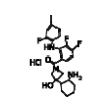 Cl.NC1CCCCC1C1(O)CN(C(=O)c2ccc(F)c(F)c2Nc2ccc(I)cc2F)C1